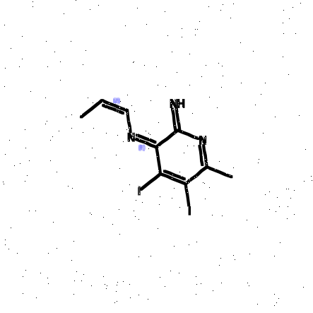 C/C=C\N=C1/C(=N)N=C(C)C(I)=C1I